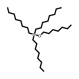 CCCCCCC[CH2][Sn]([CH2]CCCCCCC)([CH2]CCCCCCC)[O]CCCCCCC